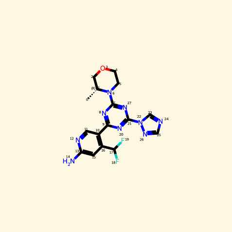 C[C@@H]1COCCN1c1nc(-c2cnc(N)cc2C(F)F)nc(-n2cncn2)n1